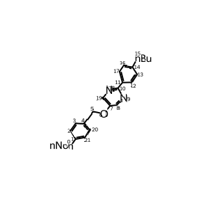 CCCCCCCCCc1ccc(COc2cnc(-c3ccc(CCCC)cc3)nc2)cc1